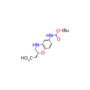 CC(C)(C)OC(=O)Nc1ccc2c(c1)NC[C@H](CC(=O)O)O2